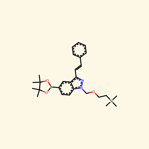 CC1(C)OB(c2ccc3c(c2)c(C=Cc2ccccc2)nn3COCC[Si](C)(C)C)OC1(C)C